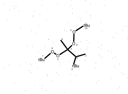 CCCCC(C)C(C)(OOC(C)(C)C)OOC(C)(C)C